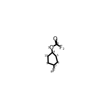 O=C(F)OC1CCC(F)CC1